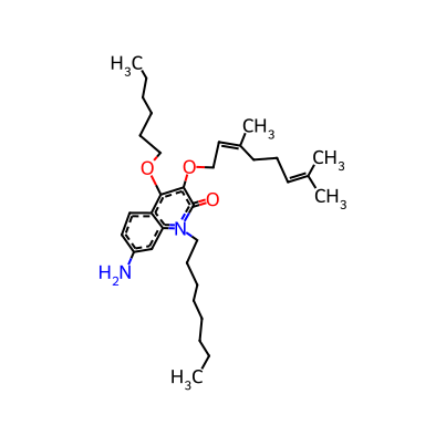 CCCCCCCCn1c(=O)c(OCC=C(C)CCC=C(C)C)c(OCCCCCC)c2ccc(N)cc21